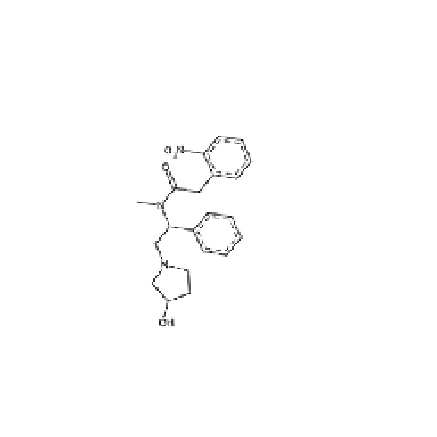 CN(C(=O)Cc1ccccc1[N+](=O)[O-])C(CN1CCC(O)C1)c1ccccc1